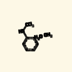 ClC(Cl)(Cl)Bc1ccccc1.O.O